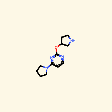 c1cc(N2CCCC2)nc(OC2CCNC2)n1